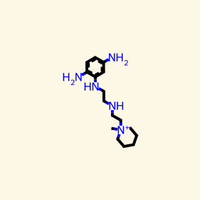 C[N+]1(CCNCCNc2cc(N)ccc2N)CCCCC1